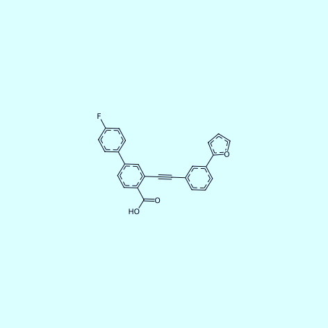 O=C(O)c1ccc(-c2ccc(F)cc2)cc1C#Cc1cccc(-c2ccco2)c1